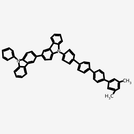 Cc1cc(C)cc(-c2ccc(-c3ccc(-c4ccc(-n5c6ccccc6c6cc(-c7ccc8c(c7)c7ccccc7n8-c7ccccc7)ccc65)cc4)cc3)cc2)c1